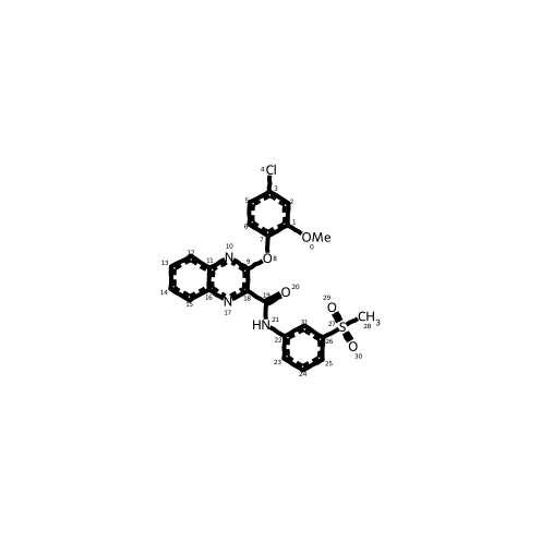 COc1cc(Cl)ccc1Oc1nc2ccccc2nc1C(=O)Nc1cccc(S(C)(=O)=O)c1